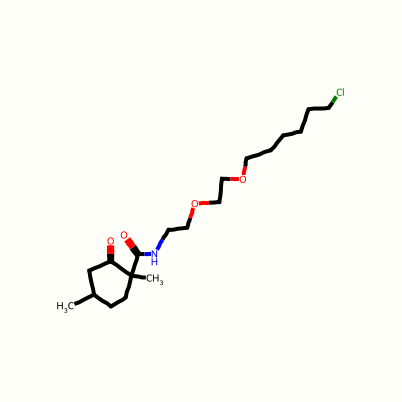 CC1CCC(C)(C(=O)NCCOCCOCCCCCCCl)C(=O)C1